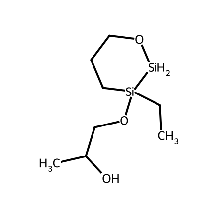 CC[Si]1(OCC(C)O)CCCO[SiH2]1